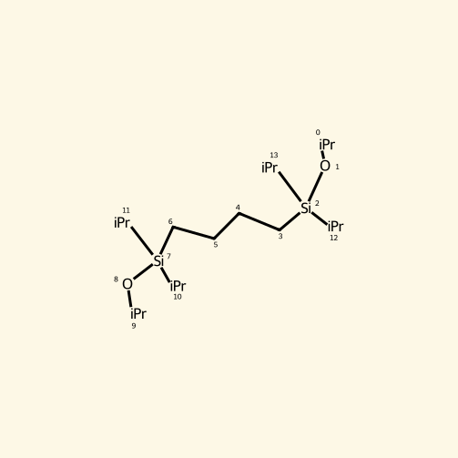 CC(C)O[Si](CCCC[Si](OC(C)C)(C(C)C)C(C)C)(C(C)C)C(C)C